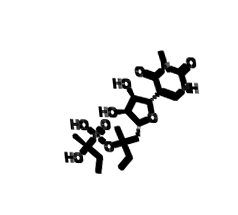 CCC(C)(C[C@H]1O[C@@H](c2c[nH]c(=O)n(C)c2=O)[C@H](O)[C@@H]1O)OP(=O)(O)[C@@](C)(O)CC